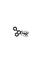 O=[N+]([O-])C(Cl)(Cl)c1nc2cc(-c3ccccc3)c3ccccc3c2s1